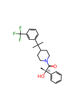 CC(C)(c1cccc(C(F)(F)F)c1)C1CCN(C(=O)[C@@](C)(O)c2ccccc2)CC1